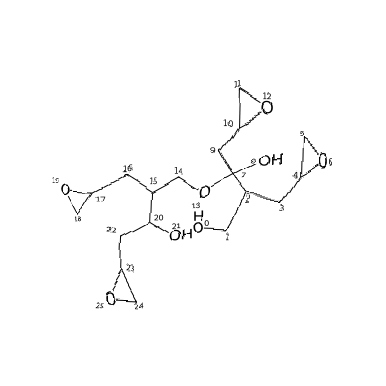 OCC(CC1CO1)C(O)(CC1CO1)OCC(CC1CO1)C(O)CC1CO1